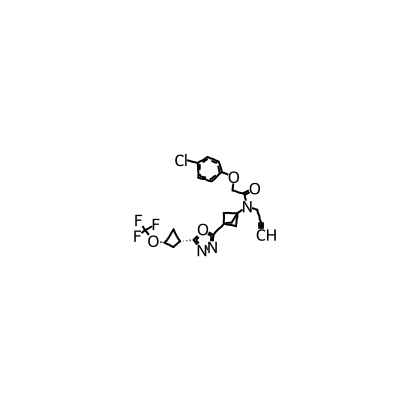 C#CCN(C(=O)COc1ccc(Cl)cc1)C12CC(c3nnc([C@H]4C[C@@H](OC(F)(F)F)C4)o3)(C1)C2